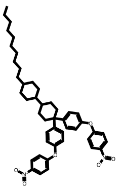 CCCCCCCCCCC1CCC(C2CCC(c3ccc(Oc4ccc([N+](=O)[O-])cc4)cc3)(c3ccc(Oc4ccc([N+](=O)[O-])cc4)cc3)CC2)CC1